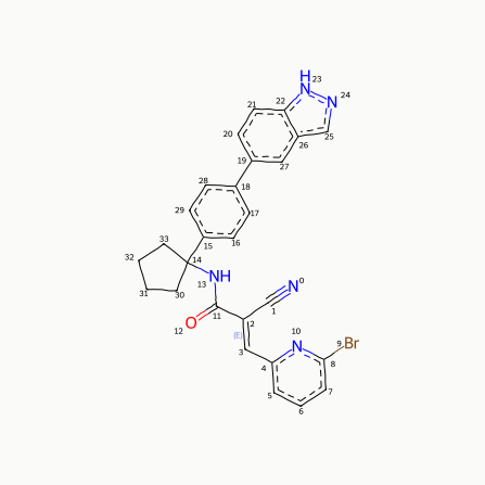 N#C/C(=C\c1cccc(Br)n1)C(=O)NC1(c2ccc(-c3ccc4[nH]ncc4c3)cc2)CCCC1